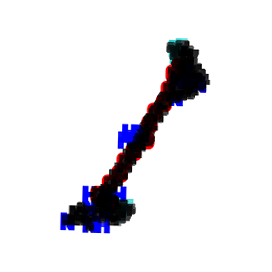 Cc1c(/C(=C/C=N)Nc2ccc(C#N)cc2)cc(C(=O)NCCOCCOCCOCCOCCNC(=O)NCCOCCOCCOCCOCCNC(=O)c2cc(-c3ccnn3-c3ccc(C#N)cc3)c(C)n(-c3cccc(C(F)(F)F)c3)c2=O)c(=O)n1-c1cccc(C(F)(F)F)c1